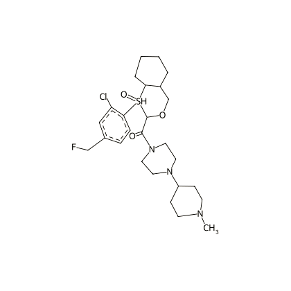 CN1CCC(N2CCN(C(=O)C3OCC4CCCCC4[SH]3(=O)c3ccc(CF)cc3Cl)CC2)CC1